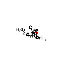 COCCOc1ccc(Nc2nc(N(Cc3ccccc3)Cc3ccccc3)c3ncn(-c4cccc(N)c4)c3n2)cc1